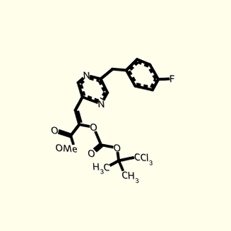 COC(=O)/C(=C/c1cnc(Cc2ccc(F)cc2)cn1)OC(=O)OC(C)(C)C(Cl)(Cl)Cl